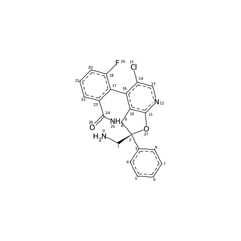 NC[C@@]1(c2ccccc2)Cc2c(ncc(Cl)c2-c2c(F)cccc2C(N)=O)O1